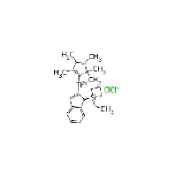 CC[Si]1(C2[C]([Ti+2][C]3=C(C)C(C)=C(C)C3(C)C)=Cc3ccccc32)CCC1.[Cl-].[Cl-]